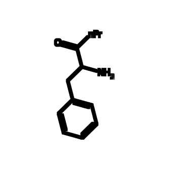 CCCC(=O)C(N)Cc1ccccc1